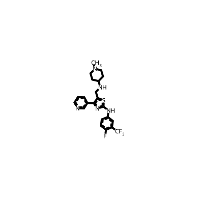 CN1CCC(NCc2sc(Nc3ccc(F)c(C(F)(F)F)c3)nc2-c2cccnc2)CC1